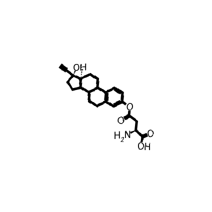 C#C[C@]1(O)CCC2C3CCc4cc(OC(=O)C[C@H](N)C(=O)O)ccc4C3CC[C@@]21C